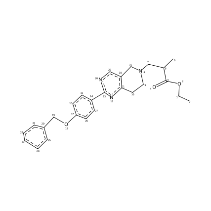 CCOC(=O)C(C)CN1CCc2nc(-c3ccc(OCc4ccccc4)cc3)ncc2C1